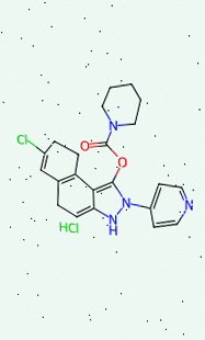 Cl.O=C(OC1=C2C(=CCC3=C2CCC(Cl)=C3)NN1c1ccncc1)N1CCCCC1